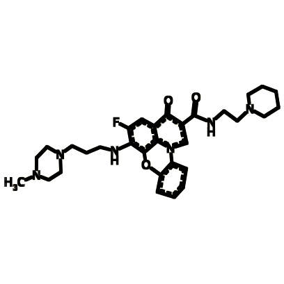 CN1CCN(CCCNc2c(F)cc3c(=O)c(C(=O)NCCN4CCCCC4)cn4c3c2Oc2ccccc2-4)CC1